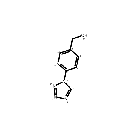 OCc1ccc(-n2cnnn2)nc1